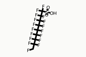 O=S(=O)(O)C(F)(F)C(F)(F)C(F)(F)C(F)(F)C(F)(F)C(F)(F)C(F)(F)C(F)(F)CF